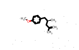 C=C(C)C[C@H](C)Cc1ccc(OC)cc1